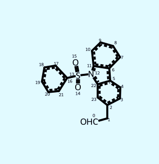 O=CCc1ccc2c3ccccc3n(S(=O)(=O)c3ccccc3)c2c1